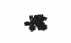 CCCC1=Cc2c(ccc(C(C)(C)C)c2-c2ccccc2)[CH]1[Zr]([Cl])([Cl])([CH]1C(CCC)=Cc2c1ccc(C(C)(C)C)c2-c1ccccc1)[SiH](C)C